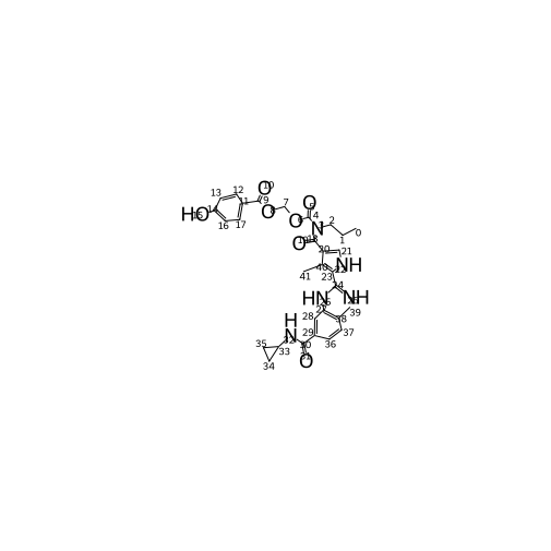 CCCN(C(=O)OCOC(=O)c1ccc(O)cc1)C(=O)c1c[nH]c(C(=N)Nc2cc(C(=O)NC3CC3)ccc2C)c1C